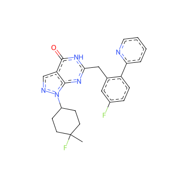 CC1(F)CCC(n2ncc3c(=O)[nH]c(Cc4cc(F)ccc4-c4ccccn4)nc32)CC1